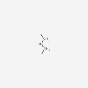 C[SiH2]N[SiH2]C